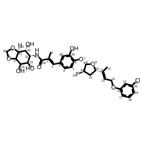 C/C(=C\c1ccc(O[C@@H]2O[C@H](/C(C)=C/COc3cccc(Cl)c3)C[C@H]2F)c(O)c1)C(=O)N[C@@H]1C(O)C(O)C2OCO[C@H]2[C@@H]1O